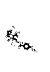 COc1ccc(C(=O)N/N=C/[C@@](C)([C@H](C(=O)O)N2C(=O)C[C@H]2C)[SH](=O)=O)cc1